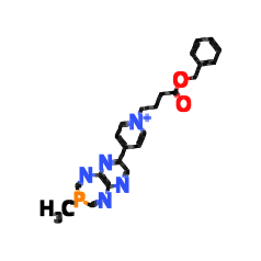 CP1C=Nc2ncc(-c3cc[n+](CCCC(=O)OCc4ccccc4)cc3)nc2N=C1